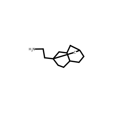 NCCC12CCC3CCC(CC3C1)C2